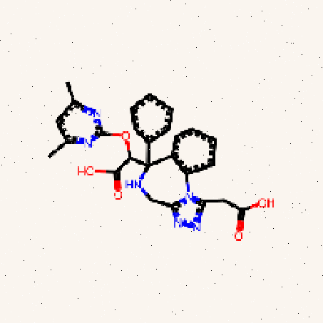 Cc1cc(C)nc(OC(C(=O)O)C2(c3ccccc3)NCc3nnc(CC(=O)O)n3-c3ccccc32)n1